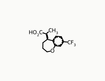 C/C(C(=O)O)=C1/CCCOc2cc(C(F)(F)F)ccc21